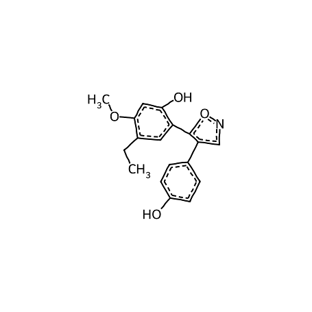 CCc1cc(-c2oncc2-c2ccc(O)cc2)c(O)cc1OC